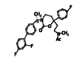 CC(=O)N(C)CCC1(c2ccc(F)cc2)CCN([C@@H](C)c2ccc(-c3ccc(F)cc3F)cc2)C(=O)O1